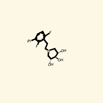 CC(C)c1ccc(F)c(CCN2C[C@@H](O)[C@H](O)[C@@H](O)C2)c1F